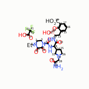 CCN1CCN(C(=O)NC(C(=O)N[C@H]2Cc3cccc(C(=O)O)c3OB2O)C2CCN(CC(N)=O)C2)C(=O)C1=O.O=C(O)C(F)(F)F